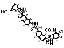 O=C(O)c1cccc(NS(=O)(=O)c2ccc3ccc(NC(=S)Nc4ccc5ccc(S(=O)(=O)Nc6ccc(Cl)c(C(=O)O)c6)cc5c4)cc3c2)c1